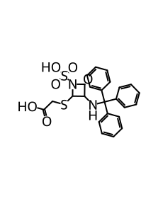 O=C(O)CSC1C(NC(c2ccccc2)(c2ccccc2)c2ccccc2)C(=O)N1S(=O)(=O)O